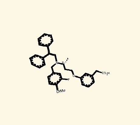 COc1ccc(CN(CC(c2ccccc2)c2ccccc2)[C@H](C)CCOc2cccc(CC(=O)O)c2)cc1F